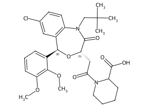 COc1cccc([C@@H]2O[C@@H](CC(=O)N3CCCCC3C(=O)O)C(=O)N(CC(C)(C)C)c3ccc(Cl)cc32)c1OC